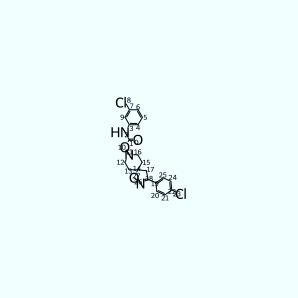 O=C(Nc1cccc(Cl)c1)ON1CCC2(CC1)CC(c1ccc(Cl)cc1)=NO2